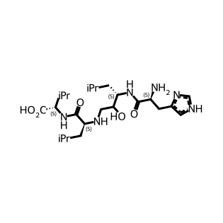 CC(C)C[C@H](NCC(O)[C@H](CC(C)C)NC(=O)[C@@H](N)Cc1c[nH]cn1)C(=O)N[C@H](C(=O)O)C(C)C